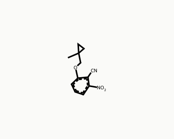 CC1(COc2cccc([N+](=O)[O-])c2C#N)CC1